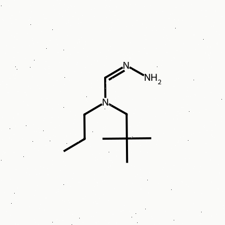 CCCN(/C=N\N)CC(C)(C)C